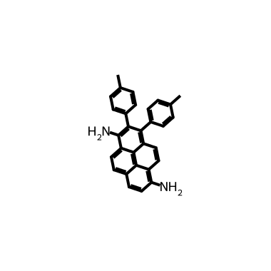 Cc1ccc(-c2c(N)c3ccc4ccc(N)c5ccc(c2-c2ccc(C)cc2)c3c45)cc1